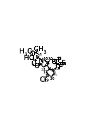 CO[C@@H](C)CC(C(=O)O)n1cc2c(cc1=O)-c1cc(Cl)ccc1CC(C(F)(F)F)OC2